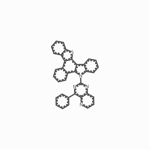 c1ccc(-c2nc(-n3c4ccccc4c4c5sc6ccccc6c5c5ccccc5c43)nc3cccnc23)cc1